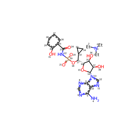 CCN(CC)CC.Nc1ncnc2c1ncn2[C@@H]1O[C@H](C(OS(=O)(=O)NC(=O)c2ccccc2O)C2CC2)[C@@H](O)[C@H]1O